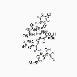 C/C=C(\C)[C@@H](O)[C@@H](C)[C@H](C/C=C(\C)C(=O)O[C@H](CC(C)C)C(=O)N[C@@H](C)C(=O)N(C)[C@H](Cc1ccc(Cl)cc1)C(=O)N(C)CC(=O)N[C@H](C(=O)O)[C@H](C)CC)OCSC